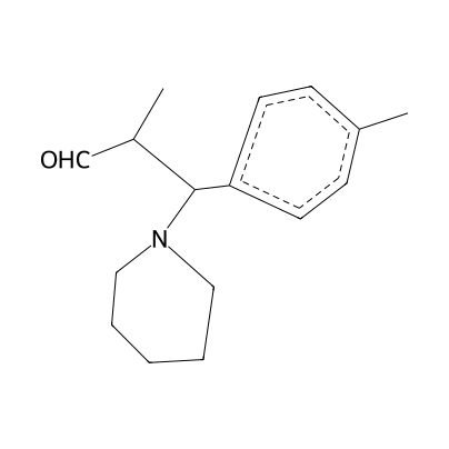 Cc1ccc(C(C(C)C=O)N2CCCCC2)cc1